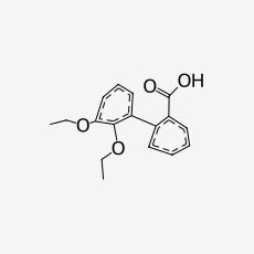 CCOc1cccc(-c2ccccc2C(=O)O)c1OCC